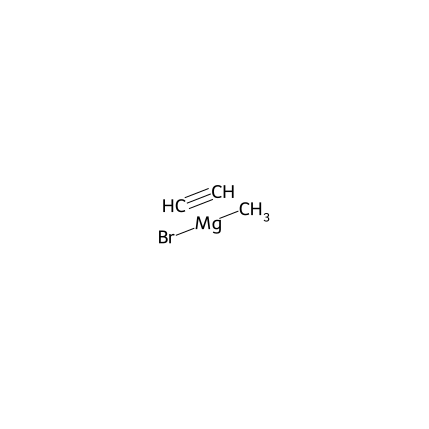 C#C.[CH3][Mg][Br]